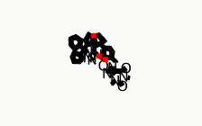 CCOc1nc2c(c(=O)n(C)c(=O)n2C)n1Cc1ccc(-c2ccccc2-c2nnnn2C(c2ccccc2)(c2ccccc2)c2ccccc2)cc1